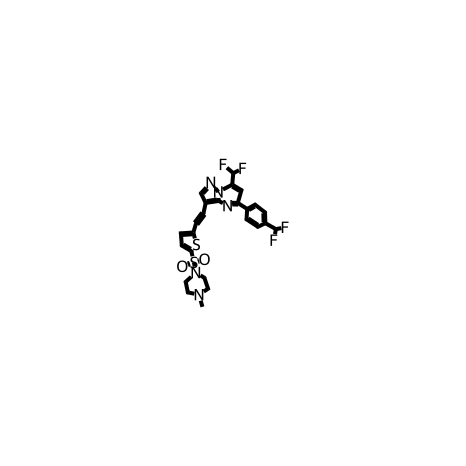 CN1CCN(S(=O)(=O)c2ccc(C#Cc3cnn4c(C(F)F)cc(-c5ccc(C(F)F)cc5)nc34)s2)CC1